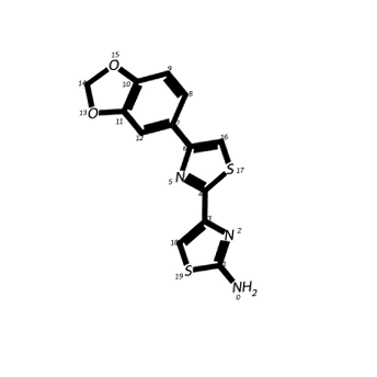 Nc1nc(-c2nc(-c3ccc4c(c3)OCO4)cs2)cs1